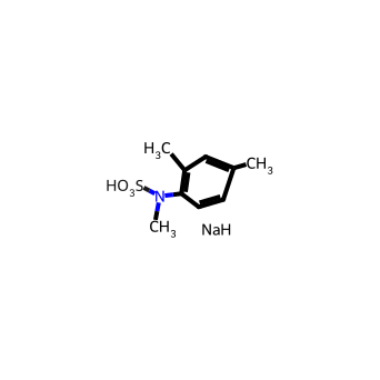 Cc1ccc(N(C)S(=O)(=O)O)c(C)c1.[NaH]